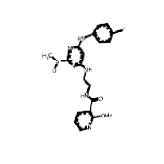 COc1ncccc1C(=O)NCCNc1cc(Nc2ccc(F)cc2)nc([S+](C)[O-])n1